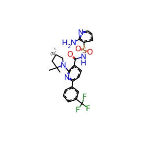 C[C@@H]1CN(c2nc(-c3cccc(C(F)(F)F)c3)ccc2C(=O)NS(=O)(=O)c2cccnc2N)C(C)(C)C1